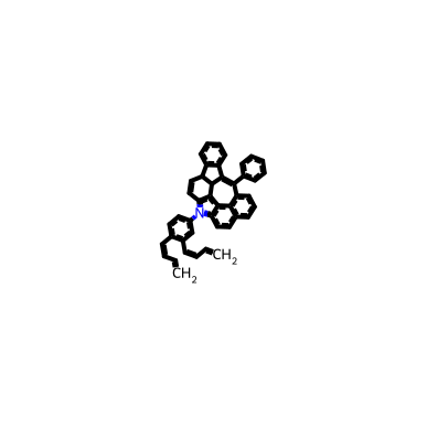 C=C/C=C\c1ccc(-n2c3c4c5c6c(cccc6ccc52)C(c2ccccc2)=C2c5ccccc5C(C=C3)C24)cc1/C=C\C=C